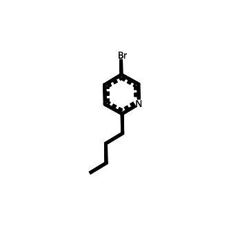 CCCCc1ccc(Br)cn1